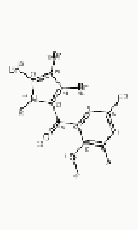 COc1c(C)cc(F)cc1C(=O)c1c(Br)c(Br)c(Br)n1C